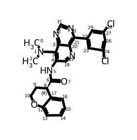 CN(C)c1c(NC(=O)[C@@H]2CCOc3ccccc32)cnc2c(-c3cc(Cl)cc(Cl)c3)ncnc12